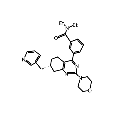 CCN(CC)C(=O)c1cccc(-c2nc(N3CCOCC3)nc3c2CC[C@@H](Cc2cccnc2)C3)c1